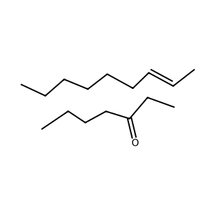 CC=CCCCCCC.CCCCC(=O)CC